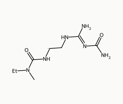 CCN(C)C(=O)N[CH]CNC(N)=NC(N)=O